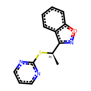 C[C@@H](Sc1ncccn1)c1noc2ccccc12